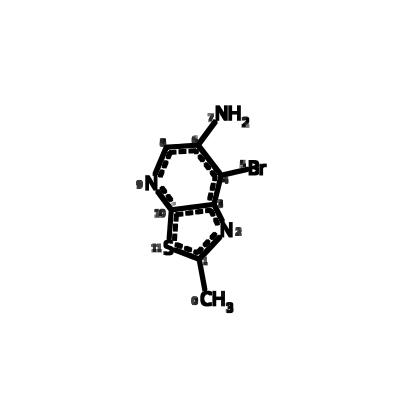 Cc1nc2c(Br)c(N)cnc2s1